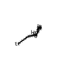 CCC=CCC=CCC=CCC=CCC=CCCCC(=O)NCC1CCN(C(=O)c2cccnc2)CC1